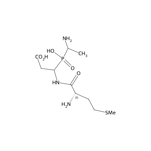 CSCC[C@H](N)C(=O)NC(CC(=O)O)P(=O)(O)C(C)N